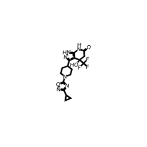 O=C1CC(O)(C(F)(F)F)c2c(C3CCN(c4nc(C5CC5)no4)CC3)n[nH]c2N1